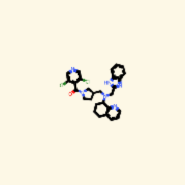 O=C(c1c(Cl)cncc1Cl)N1CCC(CN(Cc2nc3ccccc3[nH]2)C2CCCc3cccnc32)C1